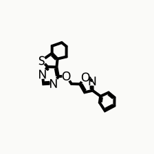 c1ccc(-c2cc(COc3ncnc4sc5c(c34)CCCC5)on2)cc1